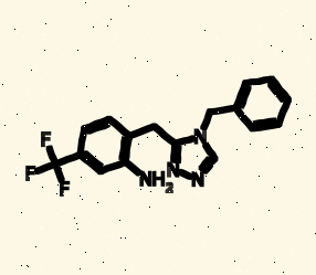 Nc1cc(C(F)(F)F)ccc1Cc1nncn1Cc1ccccc1